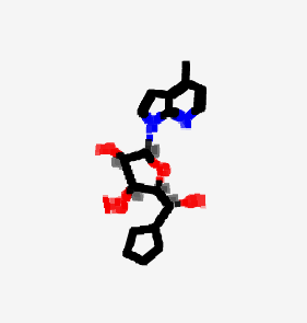 Cc1ccnc2c1ccn2[C@@H]1O[C@H]([C@H](O)C2CCCC2)[C@@H](O)[C@H]1O